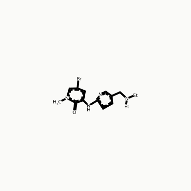 CCN(CC)Cc1ccc(Nc2cc(Br)cn(C)c2=O)nc1